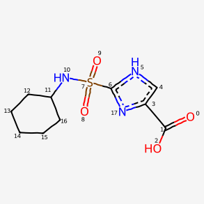 O=C(O)c1c[nH]c(S(=O)(=O)NC2CCCCC2)n1